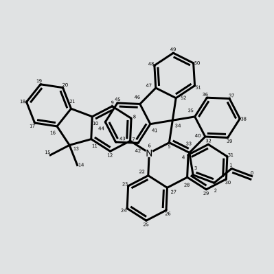 C=C/C=C\C1=C(N(c2ccc3c(c2)C(C)(C)c2ccccc2-3)c2ccccc2-c2ccccc2)C2(c3ccccc31)c1ccccc1-c1ccccc12